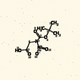 CC(C)(C)OC(=O)N(CC(=O)O)[N+](=O)[O-]